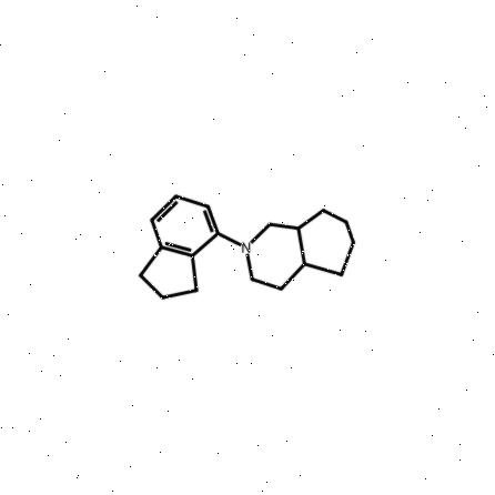 c1cc2c(c(N3CCC4CCCCC4C3)c1)CCC2